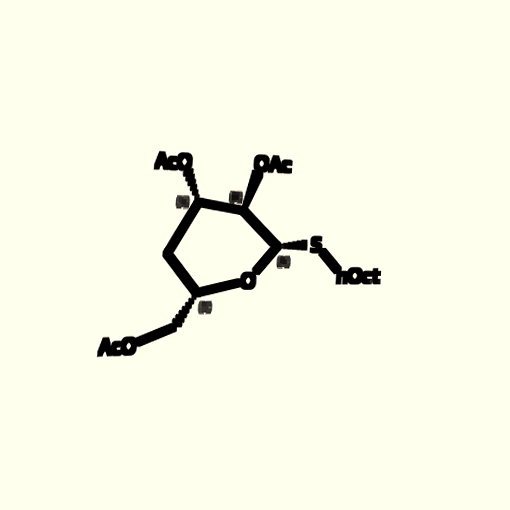 CCCCCCCCS[C@@H]1O[C@H](COC(C)=O)C[C@H](OC(C)=O)[C@H]1OC(C)=O